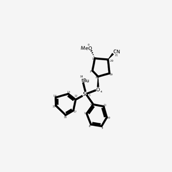 CO[C@H]1C[C@H](O[Si](c2ccccc2)(c2ccccc2)C(C)(C)C)C[C@@H]1C#N